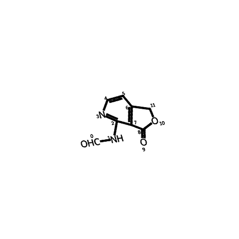 O=CNc1nccc2c1C(=O)OC2